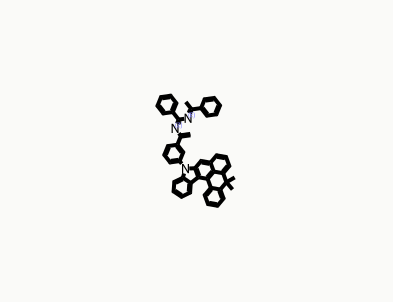 C=C(/N=C(\N=C(/C)c1ccccc1)c1ccccc1)c1cccc(-n2c3ccccc3c3c4c5c(cccc5cc32)C(C)(C)c2ccccc2-4)c1